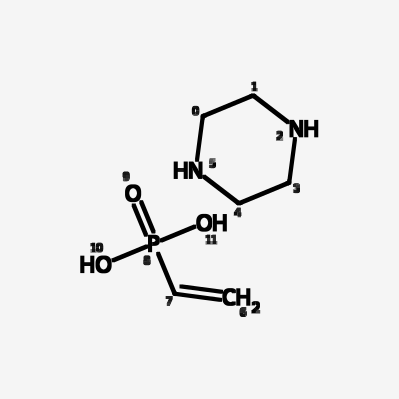 C1CNCCN1.C=CP(=O)(O)O